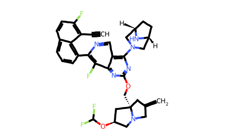 C#Cc1c(F)ccc2cccc(-c3ncc4c(N5C[C@H]6CC[C@@H](C5)N6)nc(OC[C@]56CC(=C)CN5C[C@@H](OC(F)F)C6)nc4c3F)c12